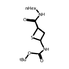 CCCCCCNC(=O)C1CC(NC(=O)OC(C)(C)C)S1